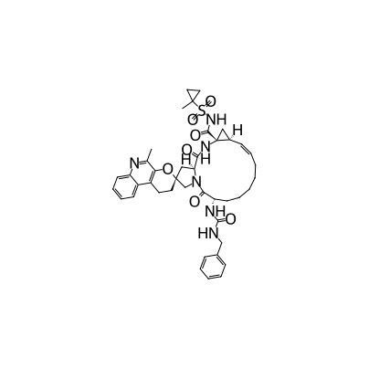 Cc1nc2ccccc2c2c1O[C@]1(CC2)C[C@H]2C(=O)N[C@]3(C(=O)NS(=O)(=O)C4(C)CC4)C[C@H]3C=CCCCCC[C@H](NC(=O)NCc3ccccc3)C(=O)N2C1